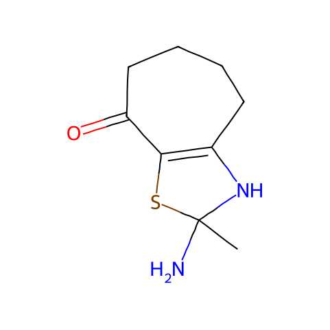 CC1(N)NC2=C(S1)C(=O)CCCC2